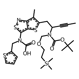 CC#CC(Cc1sc2c(N(Cc3cccs3)C(=O)O)snc2c1C)N(COCC[Si](C)(C)C)C(=O)OC(C)(C)C